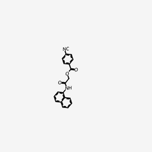 [C-]#[N+]c1ccc(C(=O)OCC(=O)Nc2cccc3ccccc23)cc1